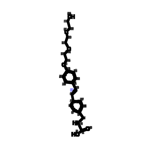 O=C(O)NCc1ccc(/C=C/c2ccc(OCCOCCOCCO)cc2)cc1